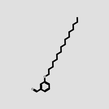 CCCCCCCCCCCCCCCCOc1cccc(C=O)c1